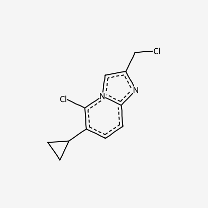 ClCc1cn2c(Cl)c(C3CC3)ccc2n1